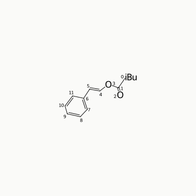 CCC(C)C(=O)O/C=C/c1ccccc1